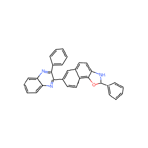 c1ccc(-c2nc3ccccc3nc2-c2ccc3c4c(ccc3c2)NC(c2ccccc2)O4)cc1